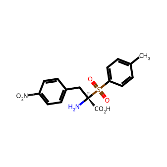 Cc1ccc(S(=O)(=O)[C@](N)(Cc2ccc([N+](=O)[O-])cc2)C(=O)O)cc1